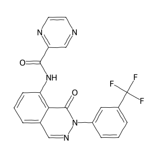 O=C(Nc1cccc2cnn(-c3cccc(C(F)(F)F)c3)c(=O)c12)c1cnccn1